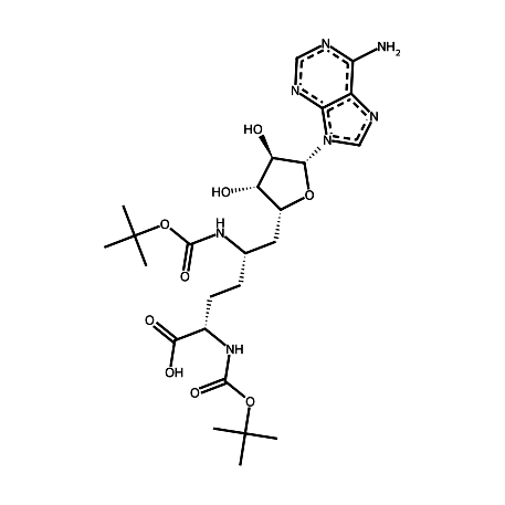 CC(C)(C)OC(=O)N[C@@H](CC[C@H](NC(=O)OC(C)(C)C)C(=O)O)C[C@H]1O[C@@H](n2cnc3c(N)ncnc32)[C@H](O)[C@H]1O